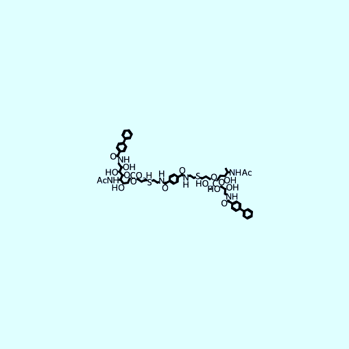 CC(=O)NC(C)C(O)CC(OCCCSCCNC(=O)c1ccc(C(=O)NCCSCCCOC2(C(=O)O)CC(O)C(NC(C)=O)C(C(O)C(O)CNC(=O)c3ccc(-c4ccccc4)cc3)O2)cc1)(OC(O)C(O)CNC(=O)c1ccc(-c2ccccc2)cc1)C(=O)O